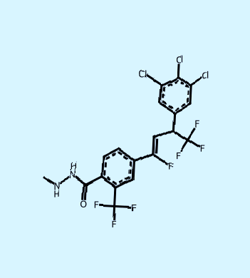 CNNC(=O)c1ccc(/C(F)=C/C(c2cc(Cl)c(Cl)c(Cl)c2)C(F)(F)F)cc1C(F)(F)F